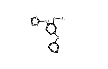 CCCCOc1cc(Oc2ccccc2)cnc1Nc1nccs1